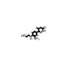 CC1CC(=O)NN=C1c1ccc(NCCO)c(N)c1